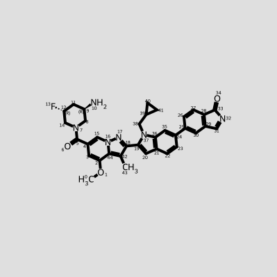 COc1cc(C(=O)N2C[C@H](N)C[C@@H](F)C2)cn2nc(-c3cc4ccc(-c5ccc6c(c5)C=NC6=O)cc4n3CC3CC3)c(C)c12